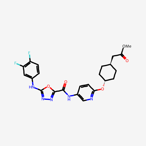 COC(=O)C[C@H]1CC[C@H](Oc2ccc(NC(=O)c3nnc(Nc4ccc(F)c(F)c4)o3)cn2)CC1